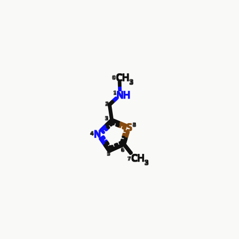 CNCc1ncc(C)s1